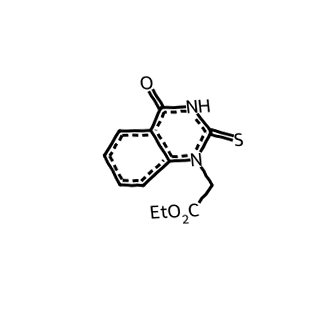 CCOC(=O)Cn1c(=S)[nH]c(=O)c2ccccc21